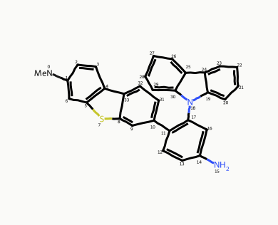 CNc1ccc2c(c1)sc1cc(-c3ccc(N)cc3-n3c4ccccc4c4ccccc43)ccc12